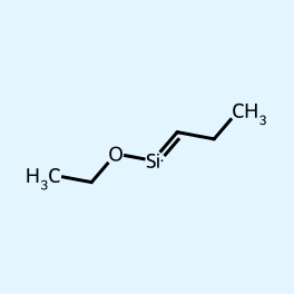 CCC=[Si]OCC